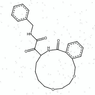 O=C(NCc1ccccc1)C(=O)C1CCCCOCCOCc2ccccc2C(=O)N1